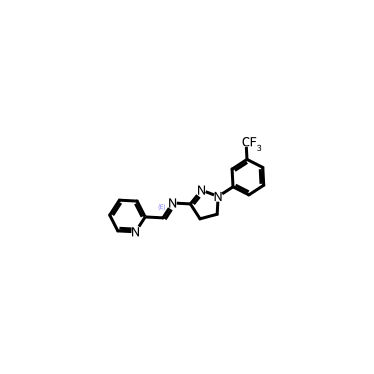 FC(F)(F)c1cccc(N2CCC(/N=C/c3ccccn3)=N2)c1